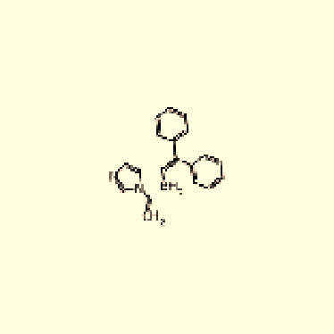 BC=C(c1ccccc1)c1ccccc1.C=Cn1ccnc1